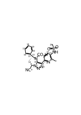 Cc1nc(-c2nnn(CC#N)c2N(C(=O)O)[C@H](C)c2ccccc2)ccc1NS(C)(=O)=O